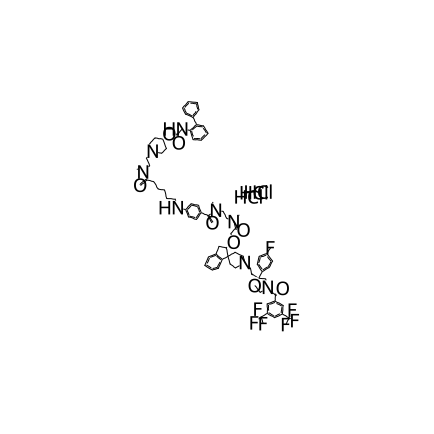 CN(CCN1CCC(OC(=O)Nc2ccccc2-c2ccccc2)CC1)C(=O)CCCCCNc1ccc(C(=O)N(C)CCN(C)C(=O)CO[C@H]2Cc3ccccc3C23CCN(CC[C@@]2(c4ccc(F)cc4)CN(C(=O)c4cc(C(F)(F)F)cc(C(F)(F)F)c4)CO2)CC3)cc1.Cl.Cl.Cl